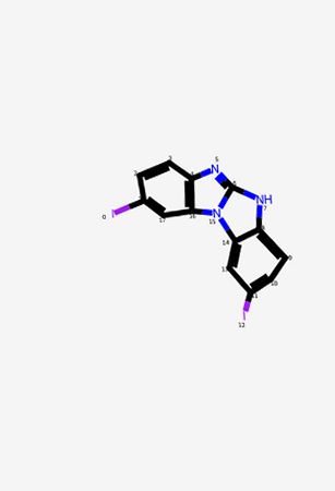 Ic1ccc2nc3[nH]c4ccc(I)cc4n3c2c1